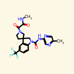 CNC(=O)C(=O)N1CCC2(C1)CN(C(=O)Nc1cnc(C)cn1)c1ccc(C(F)(F)F)cc12